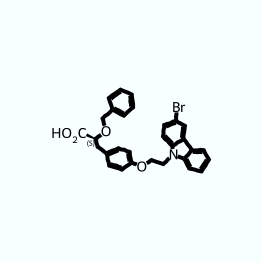 O=C(O)[C@H](Cc1ccc(OCCn2c3ccccc3c3cc(Br)ccc32)cc1)OCc1ccccc1